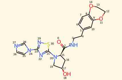 O=C(NCCc1ccc2c(c1)OCCO2)[C@H]1C[C@@H](O)CN1c1nc(-n2ccnc2)ns1